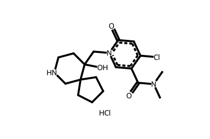 CN(C)C(=O)c1cn(CC2(O)CCNCC23CCCC3)c(=O)cc1Cl.Cl